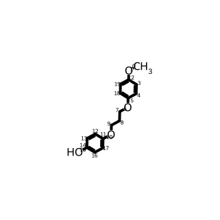 COc1ccc(OCCCOc2ccc(O)cc2)cc1